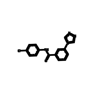 O=C(Nc1ccc(Cl)cc1)c1cccc(-n2cnnc2)c1